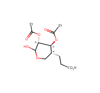 CCC(=O)O[C@H]1[C@H](CCC(=O)O)COC(O)[C@@H]1OC(=O)CC